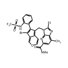 CCc1nc2c(C)cc(C(=O)NC)nc2n1Cc1c2ccocc-2c(Br)c1-c1ccccc1NS(=O)(=O)C(F)(F)F